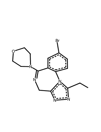 CCc1nnc2n1-c1ccc(Br)cc1C(N1CCOCC1)=NC2